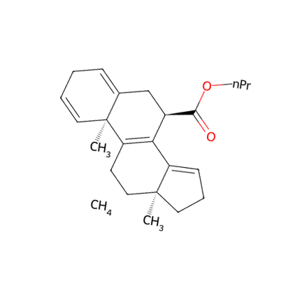 C.CCCOC(=O)[C@@H]1CC2=CCC=C[C@]2(C)C2=C1C1=CCC[C@@]1(C)CC2